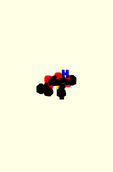 Cc1ccc(-c2ccc(C3(CC(=O)NOC4CCCCO4)CCN(C(=O)OCC4c5ccccc5-c5ccccc54)CCS3(=O)=O)s2)cc1